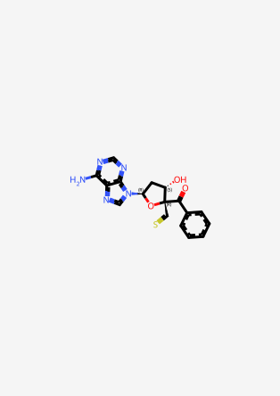 Nc1ncnc2c1ncn2[C@H]1C[C@H](O)[C@](C=S)(C(=O)c2ccccc2)O1